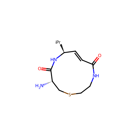 CC(C)[C@H]1/C=C/C(=O)NCCSC[C@H](N)C(=O)N1